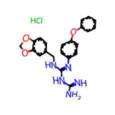 Cl.N=C(N)NC(=Nc1ccc(Oc2ccccc2)cc1)NCc1ccc2c(c1)OCO2